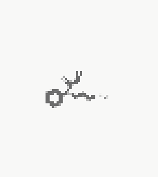 C=CC(=O)N(CCCCCCCCCCCC)c1ccccc1